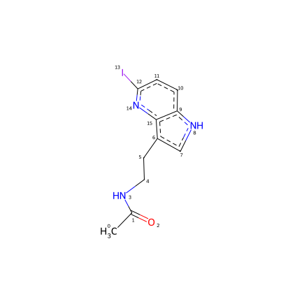 CC(=O)NCCc1c[nH]c2ccc(I)nc12